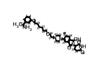 C[C@@H](N)c1cccc(OCCCCCCOCCN2CCN(c3cc4c(cc3F)C(O)N(C3CCC(=O)NC3=O)C4=O)CC2)c1